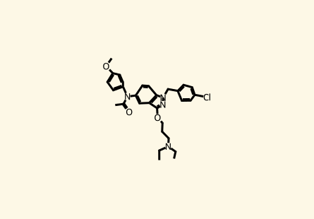 CCN(CC)CCCOc1nn(Cc2ccc(Cl)cc2)c2ccc(N(C(C)=O)c3ccc(OC)cc3)cc12